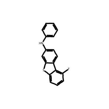 Fc1cccc2sc3cc(Nc4ccccc4)ccc3c12